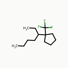 CCCCC(CC)C1(C(F)(F)F)CCCC1